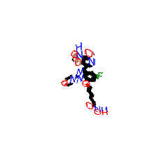 COc1ncc(-c2nc(N3CCOCC3)nc3c(OCCCCCC(=O)NO)cc(F)cc23)cc1NS(C)(=O)=O